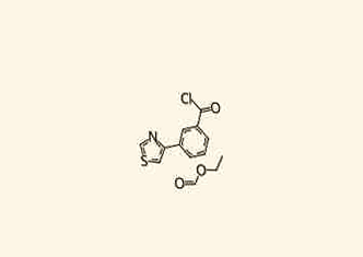 CCOC=O.O=C(Cl)c1cccc(-c2cscn2)c1